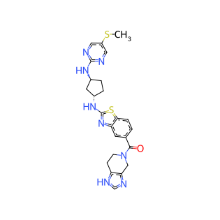 CSc1cnc(N[C@H]2CC[C@H](Nc3nc4cc(C(=O)N5CCc6[nH]cnc6C5)ccc4s3)C2)nc1